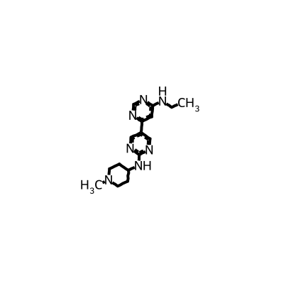 CCNc1cc(-c2cnc(NC3CCN(C)CC3)nc2)ncn1